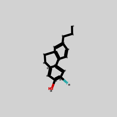 CCCc1ccc2c(c1)CCc1cc(O)c(F)cc1-2